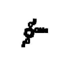 C=COc1ccc(OC=C)c(OC)c1